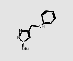 CC(C)(C)n1cc(CNc2ccccc2)nn1